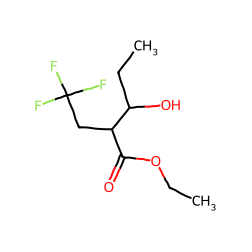 CCOC(=O)C(CC(F)(F)F)C(O)CC